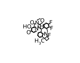 CC12CCC1(F)N1Cc3c(ccc(F)c3F)[C@H](N3[C@@H]4COCCN4C(=O)c4c(O)c(=O)ccn43)c3cccc2c31